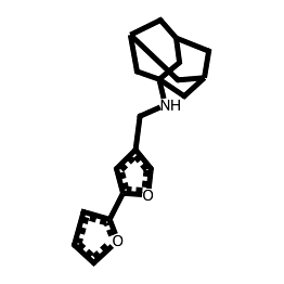 c1coc(-c2cc(CNC34CC5CC(CC(C5)C3)C4)co2)c1